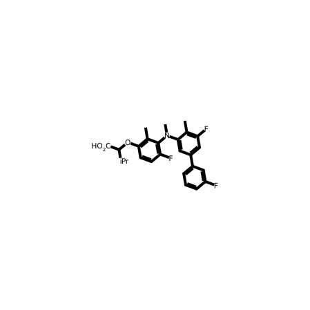 Cc1c(F)cc(-c2cccc(F)c2)cc1N(C)c1c(F)ccc(OC(C(=O)O)C(C)C)c1C